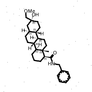 COC[C@@]1(O)CC[C@H]2[C@@H](CC[C@@H]3[C@@H]2CC[C@]2(C)[C@@H](C(=O)NCc4ccccc4)CCC[C@@H]32)C1